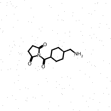 NCC1CCC(C(=O)N2C(=O)CCC2=O)CC1